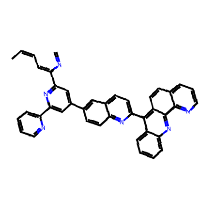 C=N/C(=C\C=C/C)c1cc(-c2ccc3nc(-c4c5ccccc5nc5c4ccc4cccnc45)ccc3c2)cc(-c2ccccn2)n1